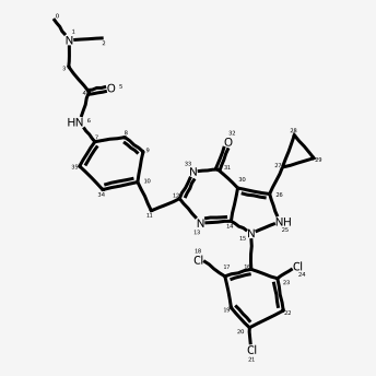 CN(C)CC(=O)Nc1ccc(Cc2nc3n(-c4c(Cl)cc(Cl)cc4Cl)[nH]c(C4CC4)c-3c(=O)n2)cc1